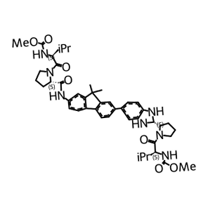 COC(=O)N[C@H](C(=O)N1CCC[C@H]1C(=O)Nc1ccc2c(c1)C(C)(C)c1cc(-c3ccc4c(c3)NC([C@@H]3CCCN3C(=O)[C@@H](NC(=O)OC)C(C)C)N4)ccc1-2)C(C)C